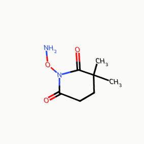 CC1(C)CCC(=O)N(ON)C1=O